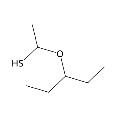 CCC(CC)OC(C)S